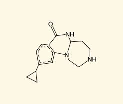 O=C1NC2CCNCCN2c2cc(C3CC3)ccc21